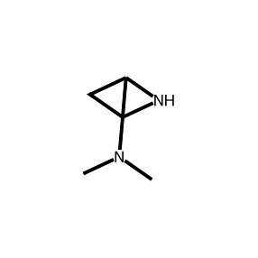 CN(C)C12CC1N2